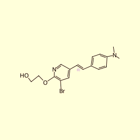 CN(C)c1ccc(/C=C/c2cnc(OCCO)c(Br)c2)cc1